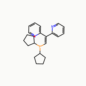 C(=C(c1ccccn1)c1ccccn1)P(C1CCCC1)C1CCCC1